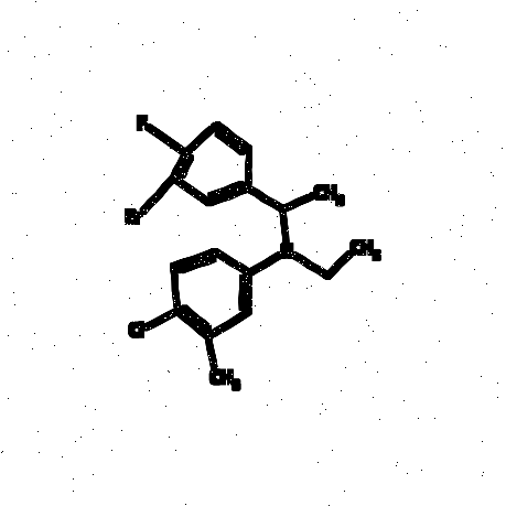 CCN(c1ccc(Cl)c(C)c1)C(C)c1ccc(F)c(Br)c1